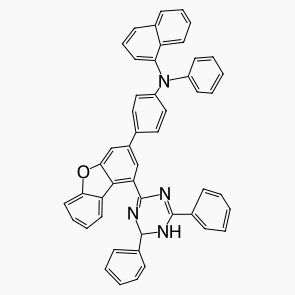 c1ccc(C2=NC(c3cc(-c4ccc(N(c5ccccc5)c5cccc6ccccc56)cc4)cc4oc5ccccc5c34)=NC(c3ccccc3)N2)cc1